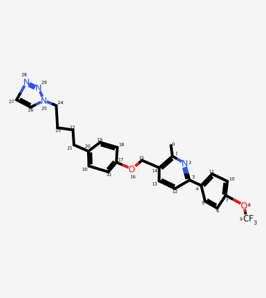 Cc1nc(-c2ccc(OC(F)(F)F)cc2)ccc1COc1ccc(CCCCn2ccnn2)cc1